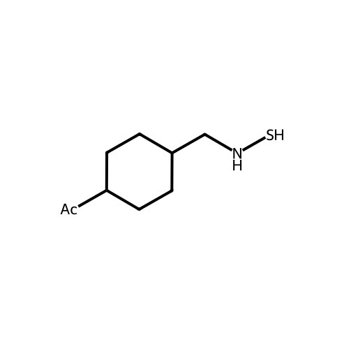 CC(=O)C1CCC(CNS)CC1